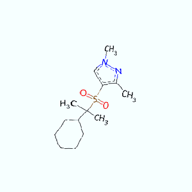 Cc1nn(C)cc1S(=O)(=O)C(C)(C)C1CCCCC1